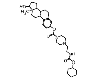 CC12CCC3c4ccc(OC(=O)N5CCN(CCNC(=O)OC6CCCCC6)CC5)cc4CCC3C1CCC2O